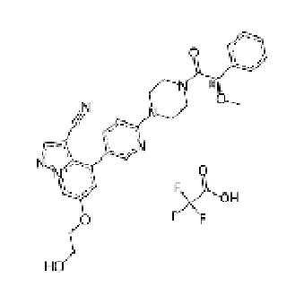 CO[C@@H](C(=O)N1CCN(c2ccc(-c3cc(OCCO)cn4ncc(C#N)c34)cn2)CC1)c1ccccc1.O=C(O)C(F)(F)F